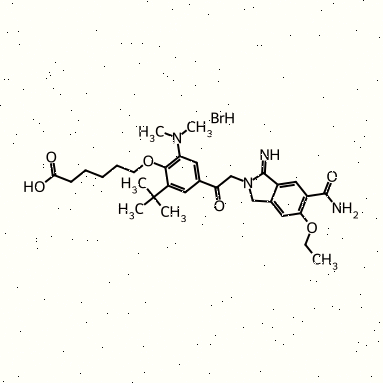 Br.CCOc1cc2c(cc1C(N)=O)C(=N)N(CC(=O)c1cc(N(C)C)c(OCCCCCC(=O)O)c(C(C)(C)C)c1)C2